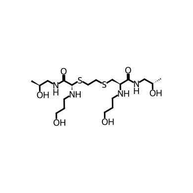 C[C@H](O)CNC(=O)[C@H](CSCCS[C@H](NCCCO)C(=O)NC[C@H](C)O)NCCCO